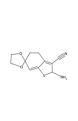 N#CC1=C2CCC3(C=C2SC1N)OCCO3